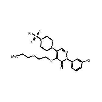 COCCOCCOc1c(N2CCN(S(=O)(=O)C(C)C)CC2)cnn(-c2cccc(Cl)c2)c1=O